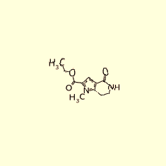 CCOC(=O)c1cc2c(n1C)CCNC2=O